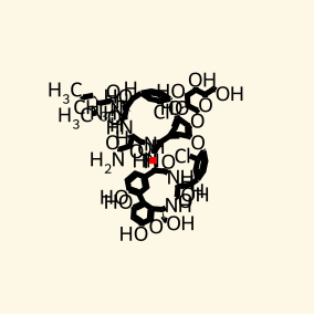 CN[C@H](CC(C)C)C(=O)N[C@H]1C(=O)N[C@@H](CC(N)=O)C(=O)N[C@H]2C(=O)N[C@H]3C(=O)N[C@H](C(=O)N[C@H](C(=O)O)c4cc(O)cc(O)c4-c4cc3ccc4O)[C@H](O)c3ccc(c(Cl)c3)Oc3cc2cc(c3O[C@@H]2OC(CO)C(O)[C@H](O)[C@H]2O)Oc2ccc(cc2Cl)[C@H]1O